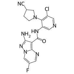 N#CC1CCN(c2c(Cl)cncc2NC(=O)c2c(N)nn3cc(F)cnc23)C1